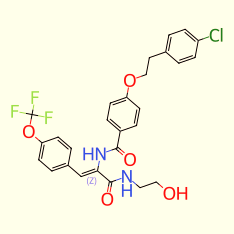 O=C(NCCO)/C(=C/c1ccc(OC(F)(F)F)cc1)NC(=O)c1ccc(OCCc2ccc(Cl)cc2)cc1